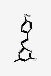 CSc1ccc(/C=C/c2nc(C)cc(Cl)n2)cc1